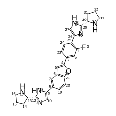 Fc1cc(-c2cc3cc(-c4cnc([C@@H]5CCCN5)[nH]4)ccc3o2)ccc1-c1c[nH]c([C@@H]2CCCN2)n1